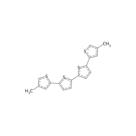 Cc1csc(-c2ccc(-c3ccc(-c4cc(C)cs4)s3)s2)c1